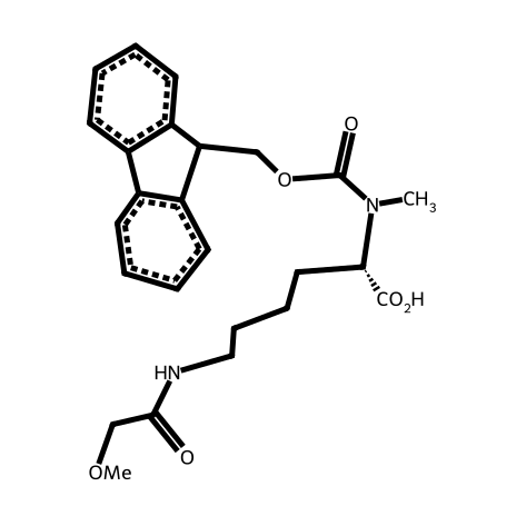 COCC(=O)NCCCC[C@@H](C(=O)O)N(C)C(=O)OCC1c2ccccc2-c2ccccc21